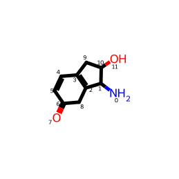 NC1C2=C(C=CC(=O)C2)CC1O